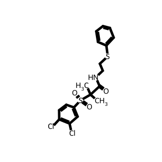 CC(C)(C(=O)NCCSc1ccccc1)S(=O)(=O)c1ccc(Cl)c(Cl)c1